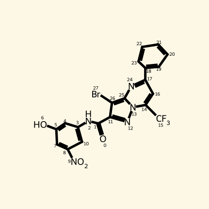 O=C(Nc1cc(O)cc([N+](=O)[O-])c1)c1nn2c(C(F)(F)F)cc(-c3ccccc3)nc2c1Br